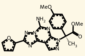 COC(=O)[C@](C)(c1ccc(OC)cc1)n1ncc2c1nc(N)n1nc(-c3ccco3)nc21